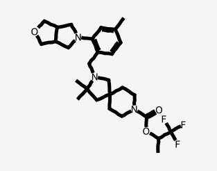 Cc1ccc(CN2CC3(CCN(C(=O)OC(C)C(F)(F)F)CC3)CC2(C)C)c(N2CC3COCC3C2)c1